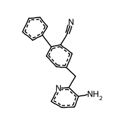 N#Cc1cc(Cc2ncccc2N)ccc1-c1ccccc1